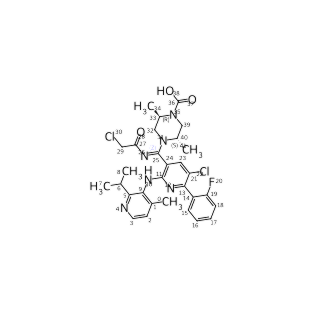 Cc1ccnc(C(C)C)c1Nc1nc(-c2ccccc2F)c(Cl)cc1/C(=N/C(=O)CCl)N1C[C@@H](C)N(C(=O)O)C[C@@H]1C